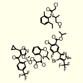 CC(C)OC(=O)c1cc(-c2nn(C)c(C(F)(F)F)c2Br)c(F)cc1Cl.CC1COc2ccccc2N1C(=O)C(Cl)Cl.CCc1cccc(C)c1N(C(=O)CCl)C(C)COC.CS(=O)(=O)c1cc(C(F)(F)F)ccc1C(=O)c1cnoc1C1CC1